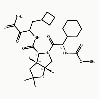 CC(C)(C)OC(=O)N[C@H](C(=O)N1C[C@@H]2OC(C)(C)C[C@@H]2[C@H]1C(=O)NC(CC1CCC1)C(=O)C(N)=O)C1CCCCC1